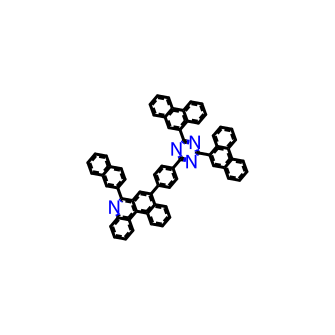 c1ccc2cc(-c3nc4ccccc4c4c3cc(-c3ccc(-c5nc(-c6cc7ccccc7c7ccccc67)nc(-c6cc7ccccc7c7ccccc67)n5)cc3)c3ccccc34)ccc2c1